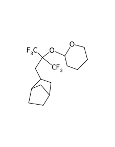 FC(F)(F)C(CC1CC2CCC1C2)(OC1CCCCO1)C(F)(F)F